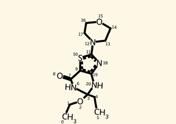 CCOC1(CC)NC(=O)c2sc(N3CCOCC3)nc2N1